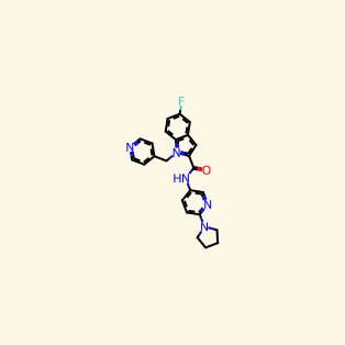 O=C(Nc1ccc(N2CCCC2)nc1)c1cc2cc(F)ccc2n1Cc1ccncc1